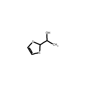 CC(O)C1SC=CS1